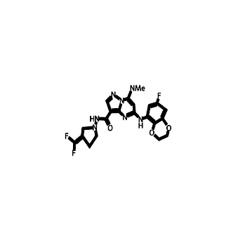 CNc1cc(Nc2cc(F)cc3c2OCCO3)nc2c(C(=O)NN3CCC(=C(F)F)C3)cnn12